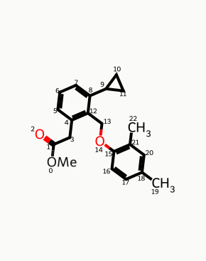 COC(=O)Cc1cccc(C2CC2)c1COc1ccc(C)cc1C